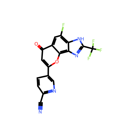 N#Cc1ccc(-c2cc(=O)c3cc(F)c4[nH]c(C(F)(F)F)nc4c3o2)cn1